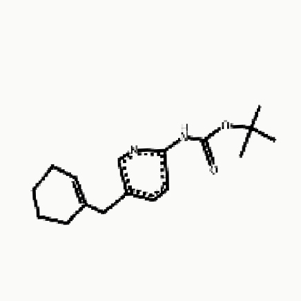 CC(C)(C)OC(=O)Nc1ccc(CC2=CCCCC2)cn1